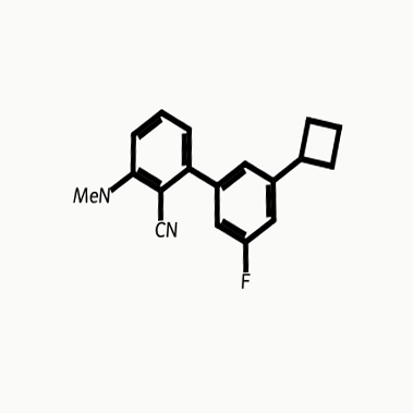 CNc1cccc(-c2cc(F)cc(C3CCC3)c2)c1C#N